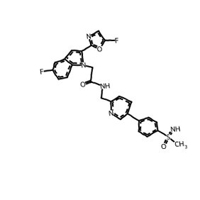 CS(=N)(=O)c1ccc(-c2ccc(CNC(=O)Cn3c(-c4ncc(F)o4)cc4cc(F)ccc43)nc2)cc1